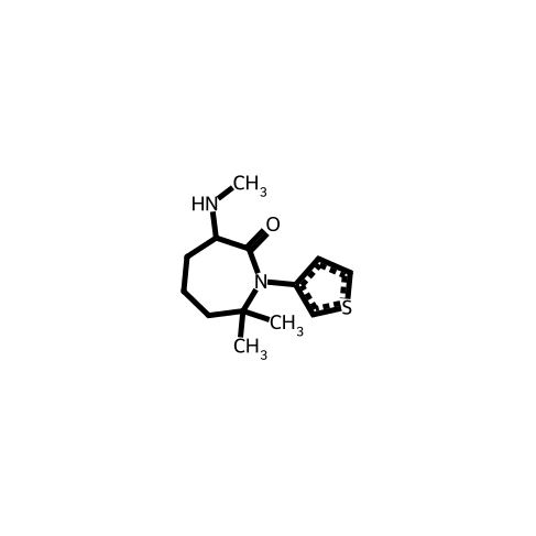 CNC1CCCC(C)(C)N(c2ccsc2)C1=O